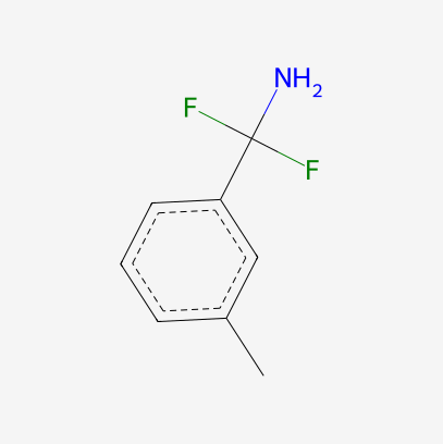 Cc1cccc(C(N)(F)F)c1